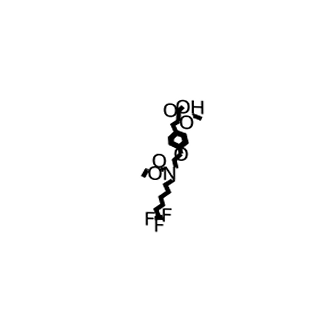 CCOC(=O)N(CCCCCCC(F)(F)F)CCOc1ccc(CC(OCC)C(=O)O)cc1